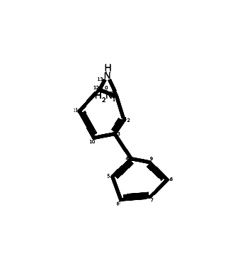 NC12C=C(c3ccccc3)C=CC1N2